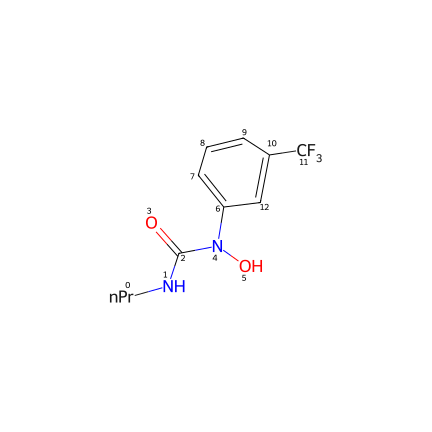 CCCNC(=O)N(O)c1cccc(C(F)(F)F)c1